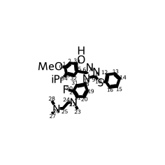 COc1cc(O)c(-c2nnc(Sc3ccccc3)n2-c2ccc(N(C)CCN(C)C)c(F)c2)cc1C(C)C